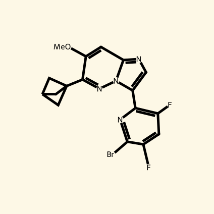 COc1cc2ncc(-c3nc(Br)c(F)cc3F)n2nc1C12CC(C1)C2